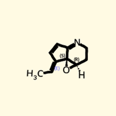 C/C=C1\C=CC2=NCC[C@H]3O[C@]213